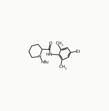 CCCCN1CCCCC1C(=O)Nc1c(C)cc(CC)cc1C